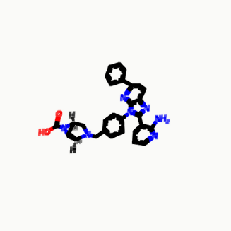 Nc1ncccc1-c1nc2ccc(-c3ccccc3)nc2n1-c1ccc(CN2C[C@H]3C[C@@H]2CN3C(=O)O)cc1